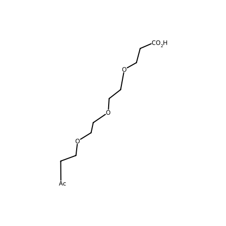 CC(=O)CCOCCOCCOCCC(=O)O